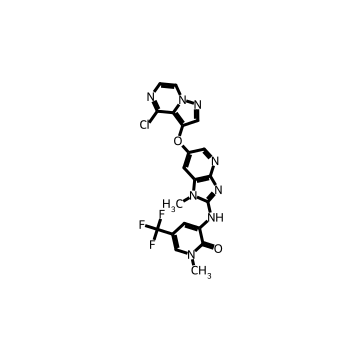 Cn1cc(C(F)(F)F)cc(Nc2nc3ncc(Oc4cnn5ccnc(Cl)c45)cc3n2C)c1=O